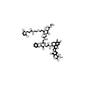 CC[C@@]1(O)C(=O)OCc2c1cc1n(c2=O)Cc2c-1nc1cc(F)c(C)c3c1c2[C@@H](NC(=O)CNC(=O)[C@H](Cc1ccccc1)NC(=O)CNC(=O)CNC(=O)[C@H](CC(=O)OC(C)(C)C)NC(=O)CCOCCNC(=O)CCN1C(=O)C=CC1=O)CC3